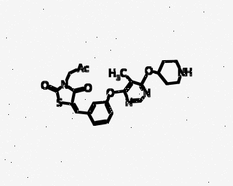 CC(=O)CN1C(=O)SC(=Cc2cccc(Oc3ncnc(OC4CCNCC4)c3C)c2)C1=O